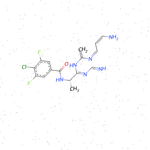 C=C(/N=C\C=C/N)N/C(=N\C=N)[C@H](C)NC(=O)c1cc(F)c(Cl)c(F)c1